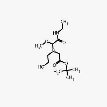 CCNC(=O)C(OC)N(CCO)CC(=O)OC(C)(C)C